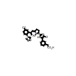 C=C(/C=C1/CC[C@@H](c2nc(Cl)c(-c3cccc(CC(=O)O)c3)[nH]2)N1C(C)=O)c1cc(Cl)ccc1-n1cnnn1